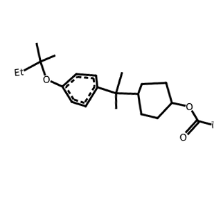 CCC(C)(C)Oc1ccc(C(C)(C)C2CCC(OC(=O)C(C)C)CC2)cc1